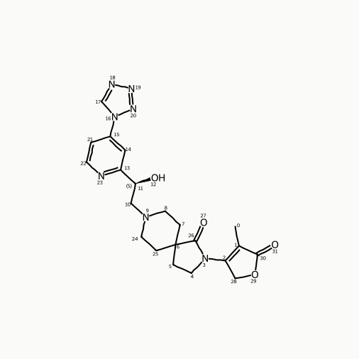 CC1=C(N2CCC3(CCN(C[C@H](O)c4cc(-n5cnnn5)ccn4)CC3)C2=O)COC1=O